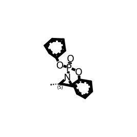 C[C@H]1CN1P(=O)(Oc1ccccc1)Oc1ccccc1